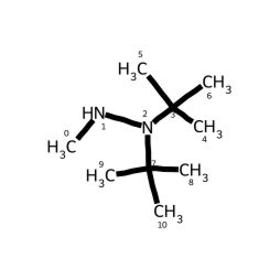 CNN(C(C)(C)C)C(C)(C)C